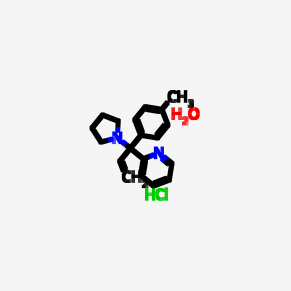 C=CC(c1ccc(C)cc1)(c1ccccn1)N1CCCC1.Cl.O